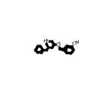 N#Cc1cccc(COC2CNCC(Cc3ccccc3)C2)c1